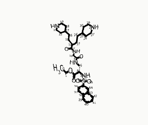 CCOC(=O)[C@H](CNC(=O)CNC(=O)C(CCC1CCNCC1)CCC1CCNCC1)NS(=O)(=O)c1ccc2ccccc2c1